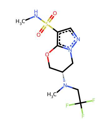 CNS(=O)(=O)c1cnn2c1OC[C@@H](N(C)CC(F)(F)F)C2